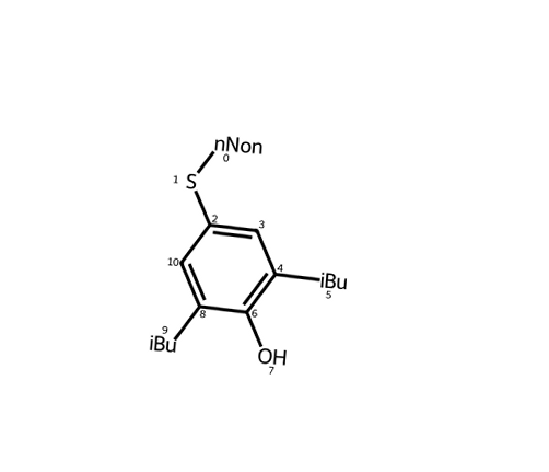 CCCCCCCCCSc1cc(C(C)CC)c(O)c(C(C)CC)c1